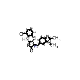 Cc1nc2ccc(/C=C3\SC(Nc4c(Cl)cccc4Cl)=NC3=O)cc2n1C